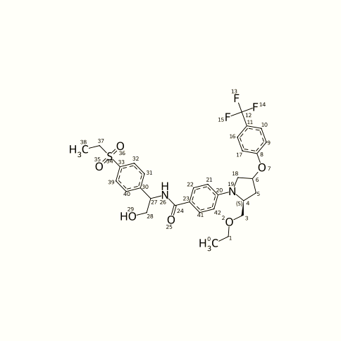 CCOC[C@@H]1CC(Oc2ccc(C(F)(F)F)cc2)CN1c1ccc(C(=O)NC(CO)c2ccc(S(=O)(=O)CC)cc2)cc1